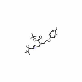 CN(C)C(=O)/C=C/CN(CCOc1ccc(I)nc1)C(=O)OC(C)(C)C